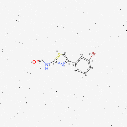 O=CNc1nc(-c2cccc(Br)c2)cs1